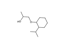 CC(O)COC1CCCCC1C(C)C